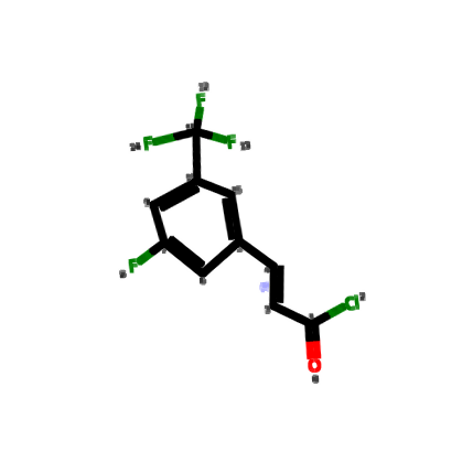 O=C(Cl)/C=C/c1cc(F)cc(C(F)(F)F)c1